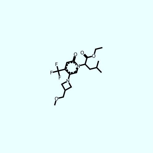 CCOC(=O)C(CC(C)C)n1cc(N2CC(COC)C2)c(C(F)(F)F)cc1=O